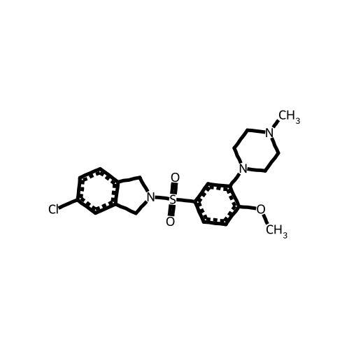 COc1ccc(S(=O)(=O)N2Cc3ccc(Cl)cc3C2)cc1N1CCN(C)CC1